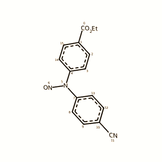 CCOC(=O)c1ccc(N(N=O)c2ccc(C#N)cc2)cc1